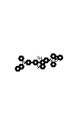 [2H]c1c2c3c(cccc3c3cc(N(c4ccccc4)c4cccc5c4oc4ccccc45)ccc13)Sc1cc(-c3ccc(N(c4ccccc4)c4ccc5ccccc5c4)cc3)ccc1-2